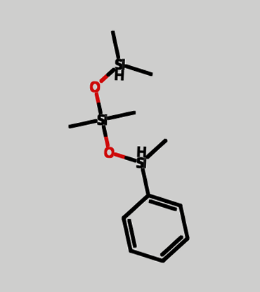 C[SiH](C)O[Si](C)(C)O[SiH](C)c1ccccc1